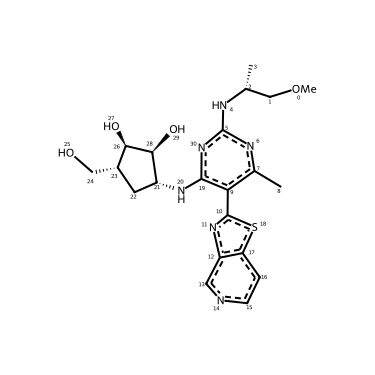 COC[C@@H](C)Nc1nc(C)c(-c2nc3cnccc3s2)c(N[C@@H]2C[C@H](CO)[C@@H](O)[C@H]2O)n1